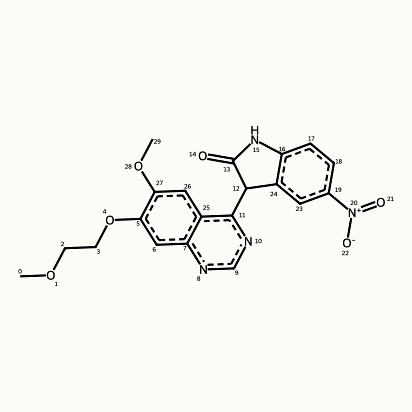 COCCOc1cc2ncnc(C3C(=O)Nc4ccc([N+](=O)[O-])cc43)c2cc1OC